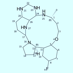 C[C@@H]1CCOC2CCC(F)CC2[C@H]2CCCN2C2CCC3NCNC(N1)C3N2